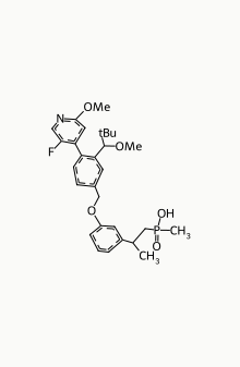 COc1cc(-c2ccc(COc3cccc(C(C)CP(C)(=O)O)c3)cc2C(OC)C(C)(C)C)c(F)cn1